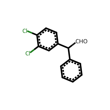 O=CC(c1ccccc1)c1ccc(Cl)c(Cl)c1